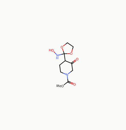 COC(=O)N1CCC(C2(NO)OCCO2)C(=O)C1